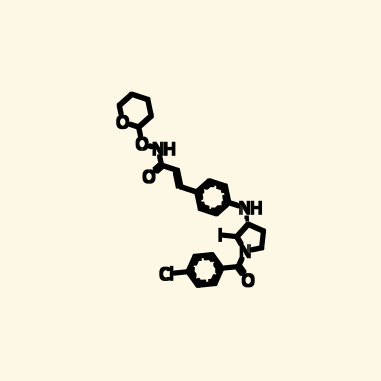 O=C(C=Cc1ccc(N[C@@H]2CCN(C(=O)c3ccc(Cl)cc3)C2I)cc1)NOC1CCCCO1